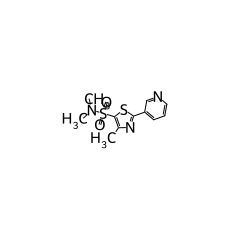 Cc1nc(-c2cccnc2)sc1S(=O)(=O)N(C)C